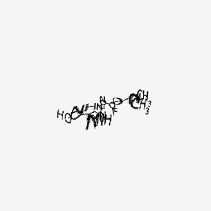 CN(C)CCOc1cc(F)cc(-c2cncc3[nH]c(-c4n[nH]c5ncc(-c6cncc(O)c6)cc45)cc23)c1